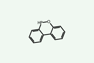 c1ccc2c(c1)OPc1ccccc1-2